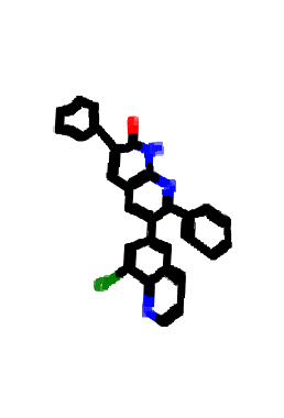 O=c1[nH]c2nc(-c3ccccc3)c(-c3cc(Cl)c4ncccc4c3)cc2cc1-c1ccccc1